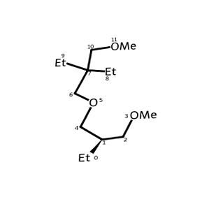 CC[C@H](COC)COCC(CC)(CC)COC